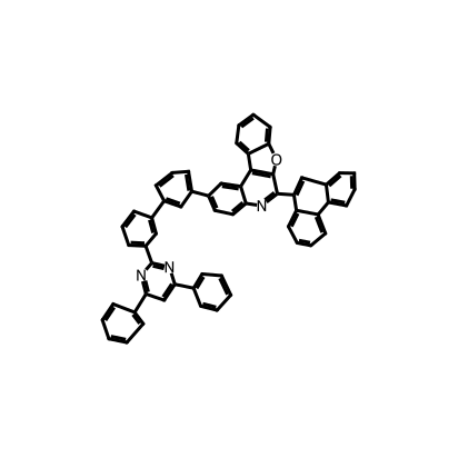 c1ccc(-c2cc(-c3ccccc3)nc(-c3cccc(-c4cccc(-c5ccc6nc(-c7cc8ccccc8c8ccccc78)c7oc8ccccc8c7c6c5)c4)c3)n2)cc1